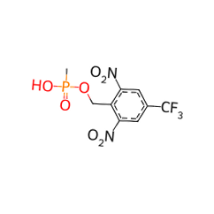 CP(=O)(O)OCc1c([N+](=O)[O-])cc(C(F)(F)F)cc1[N+](=O)[O-]